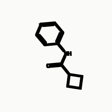 O=C(Nc1cc[c]cc1)C1CCC1